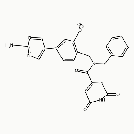 Nc1ncc(-c2ccc(CN(Cc3ccccc3)C(=O)c3cc(=O)[nH]c(=O)[nH]3)c(OC(F)(F)F)c2)cn1